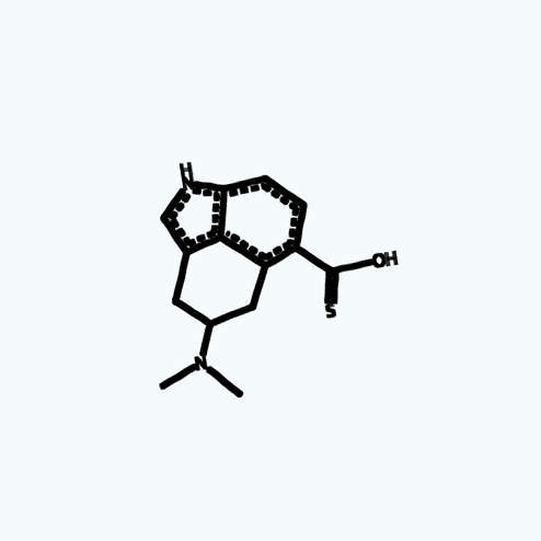 CN(C)C1Cc2c[nH]c3ccc(C(O)=S)c(c23)C1